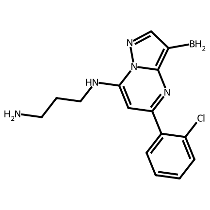 Bc1cnn2c(NCCCN)cc(-c3ccccc3Cl)nc12